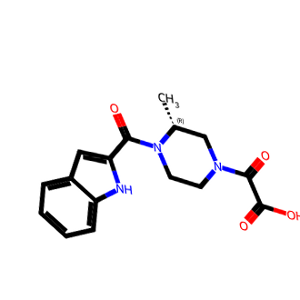 C[C@@H]1CN(C(=O)C(=O)O)CCN1C(=O)c1cc2ccccc2[nH]1